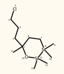 CC1(CCCCl)CC[Si](C)(C)[Si](C)(C)O1